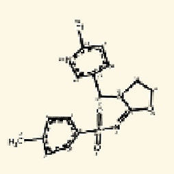 Cc1ccc(S(=O)(=O)/N=C2/OCCN2Cc2ccc(Cl)nc2)cc1